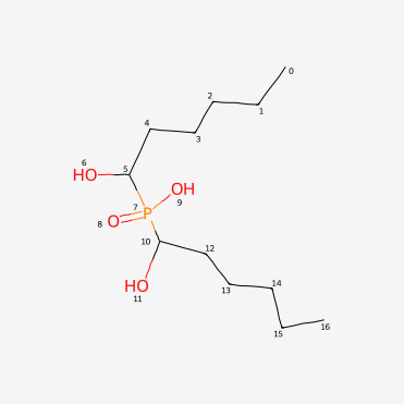 CCCCCC(O)P(=O)(O)C(O)CCCCC